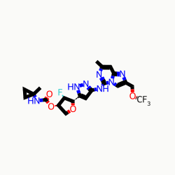 Cc1cc2nc(COC(F)(F)F)cn2c(Nc2cc([C@@H]3OC[C@H](OC(=O)NC4(C)CC4)[C@@H]3F)[nH]n2)n1